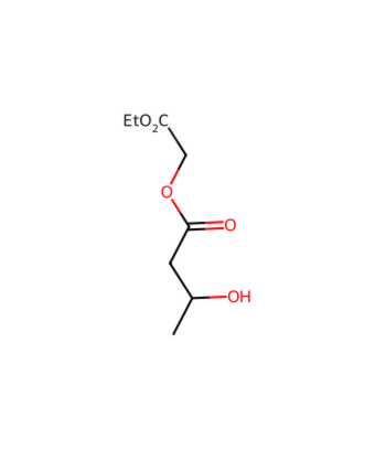 CCOC(=O)COC(=O)CC(C)O